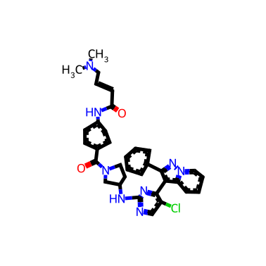 CN(C)C/C=C/C(=O)Nc1ccc(C(=O)N2CCC(Nc3ncc(Cl)c(-c4c(-c5ccccc5)nn5ccccc45)n3)C2)cc1